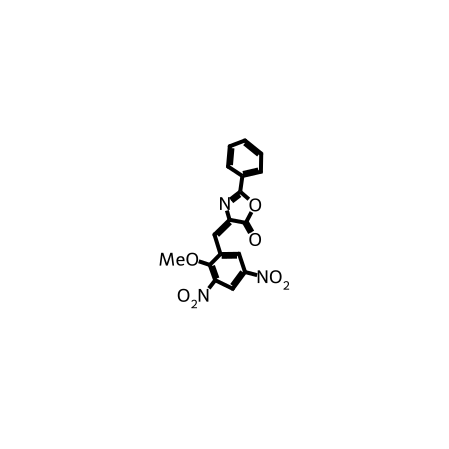 COc1c(/C=C2/N=C(c3ccccc3)OC2=O)cc([N+](=O)[O-])cc1[N+](=O)[O-]